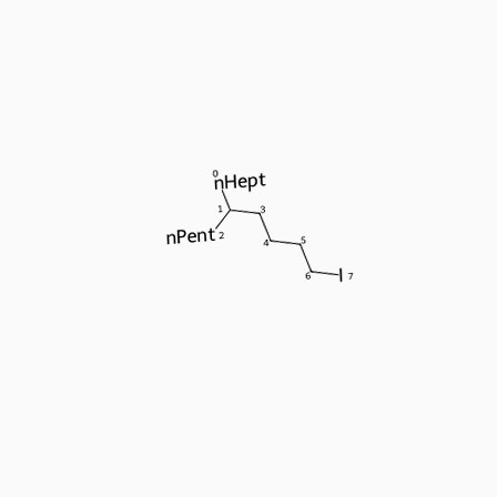 CCCCCCCC(CCCCC)CCCCI